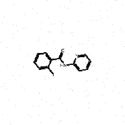 O=C(Nc1ccccn1)c1ccccc1I